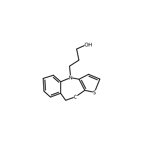 OCCCN1c2ccccc2CCc2sccc21